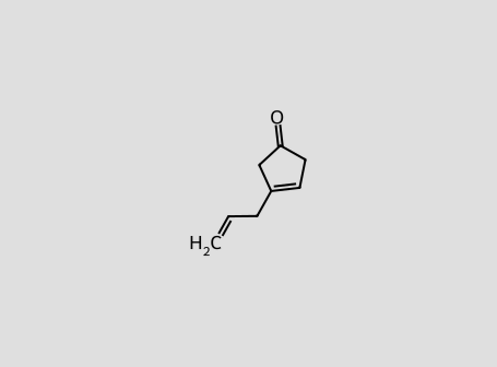 C=CCC1=CCC(=O)C1